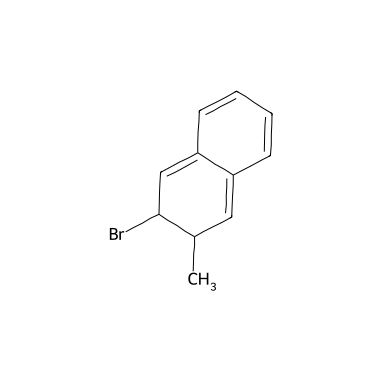 CC1C=c2ccccc2=CC1Br